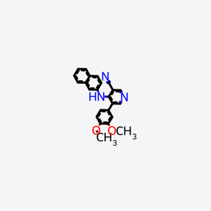 COc1ccc(-c2cncc(C#N)c2Nc2ccc3ccccc3c2)cc1OC